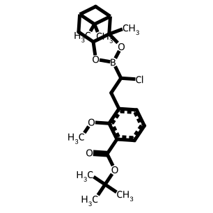 COc1c(CC(Cl)B2OC3CC4CC(C4(C)C)C3(C)O2)cccc1C(=O)OC(C)(C)C